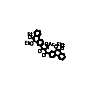 CCOc1c(OCC)c2cc(C(=O)C(=NOC(C)=O)C(=O)c3ccc4c(c3)c(OCC)c(OCC)c3ccccc34)ccc2c2ccccc12